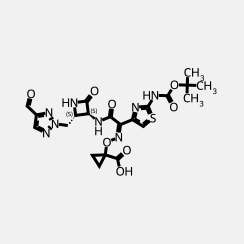 CC(C)(C)OC(=O)Nc1nc(C(=NOC2(C(=O)O)CC2)C(=O)N[C@@H]2C(=O)N[C@H]2Cn2ncc(C=O)n2)cs1